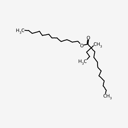 CCCCCCCCCCCCOC(=O)C(C)(CCC)CCCCCCCCCC